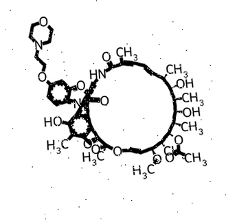 CO[C@H]1/C=C/O[C@@]2(C)Oc3c(C)c(O)c4c(=O)c(c5oc6cc(OCCN7CCOCC7)ccc6nc-5c4c3C2=O)NC(=O)/C(C)=C\C=C\[C@H](C)[C@H](O)[C@@H](C)[C@@H](O)[C@@H](C)[C@H](OC(C)=O)[C@@H]1C